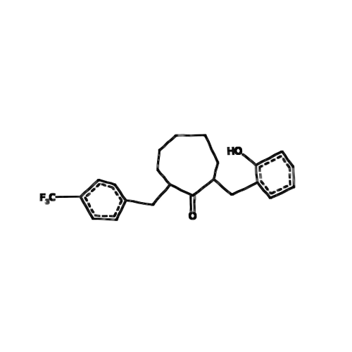 O=C1C(Cc2ccc(C(F)(F)F)cc2)CCCCCC1Cc1ccccc1O